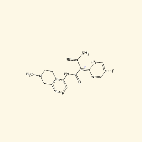 CN1CCc2c(cncc2NC(=O)/C(C(=N)N)=C2\N=CC(F)=CN2)C1